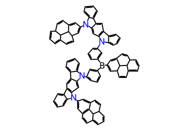 C1=CC2C=Cc3cc(-n4c5ccccc5c5cc6c7ccccc7n(-c7cccc(B(C8=CC9C=CC%10=CC=CC%11C=CC(=C8)C9C%10%11)c8cccc(-n9c%10ccccc%10c%10cc%11c%12ccccc%12n(C%12=CC%13C=CC%14=CC=CC%15C=CC(=C%12)C%13C%14%15)c%11cc%109)c8)c7)c6cc54)cc4c3C2C(=C1)C=C4